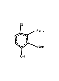 CCCCCCCCCc1c(O)ccc(CC)c1CCCCC